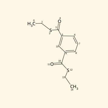 CCSC(=O)c1cccc(C(=O)SCC)c1